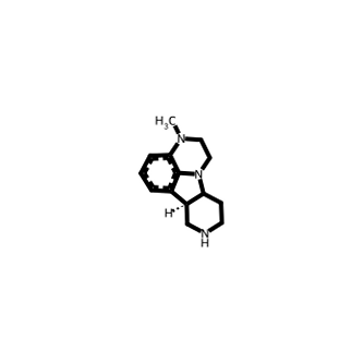 CN1CCN2c3c(cccc31)[C@@H]1CNCCC12